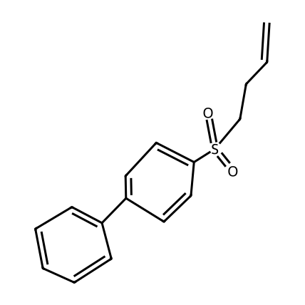 C=CCCS(=O)(=O)c1ccc(-c2ccccc2)cc1